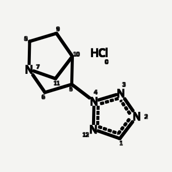 Cl.c1nnn(C2CN3CCC2C3)n1